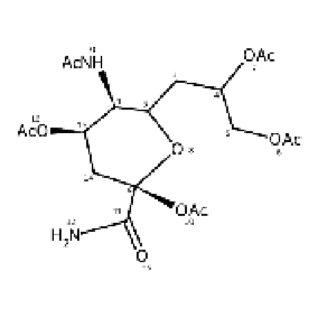 CC(=O)N[C@H]1C(CC(COC(C)=O)OC(C)=O)O[C@](OC(C)=O)(C(N)=O)C[C@H]1OC(C)=O